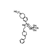 CCCC.N#CP(=O)(O)O.O=C(NCCN1CCN(Cc2ccccc2)CC1)c1ccc2c(c1)CCN(C(=O)O)CC2